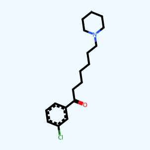 O=C(CCCCCCN1CC[CH]CC1)c1cccc(Cl)c1